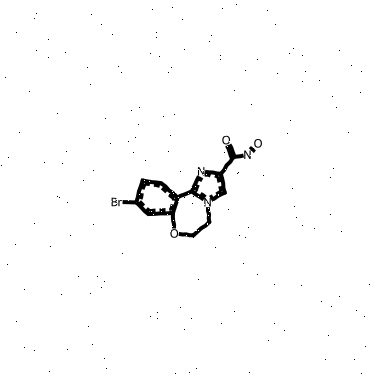 O=NC(=O)c1cn2c(n1)-c1ccc(Br)cc1OCC2